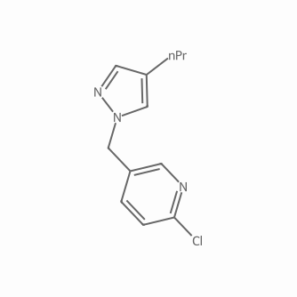 CCCc1cnn(Cc2ccc(Cl)nc2)c1